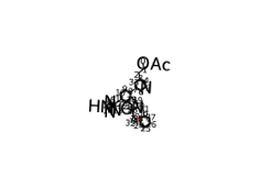 CC(=O)OCCc1cncc(-c2ccc(-c3nn[nH]n3)cc2CN(Cc2ccccc2)C(=O)C2CC2)c1